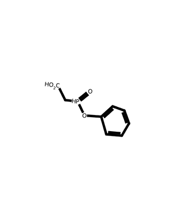 O=C(O)C[PH](=O)Oc1ccccc1